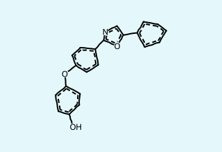 Oc1ccc(Oc2ccc(-c3ncc(-c4ccccc4)o3)cc2)cc1